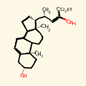 CCOC(=O)/C(O)=C\[C@@H](C)[C@H]1CCC2C3CC=C4C[C@@H](O)CC[C@]4(C)C3CC[C@@]21C